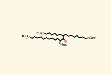 CCCCCCCCCCCCCCCCCCC(CCCCCCCCCCCCCCCC)C(=O)C(CCCCCC)CCCCCCCCCCC(=O)O